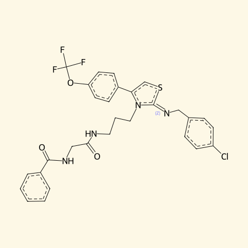 O=C(CNC(=O)c1ccccc1)NCCCn1c(-c2ccc(OC(F)(F)F)cc2)cs/c1=N\Cc1ccc(Cl)cc1